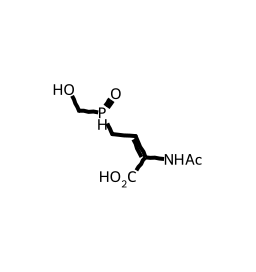 CC(=O)N/C(=C/C[PH](=O)CO)C(=O)O